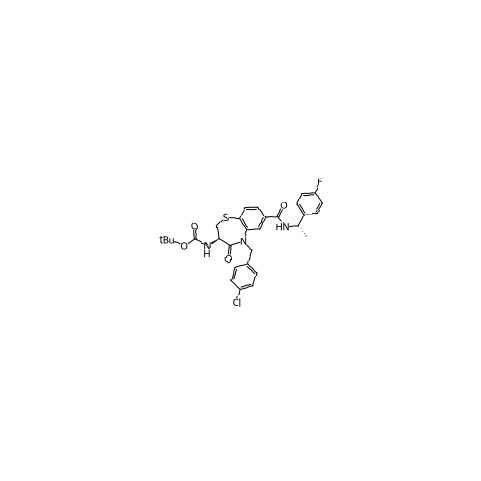 C[C@H](NC(=O)c1ccc2c(c1)N(Cc1ccc(Cl)cc1)C(=O)[C@@H](NC(=O)OC(C)(C)C)CS2)c1ccc(F)cc1